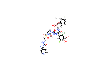 O=C(NCCS(=O)(=O)N1CCN(C(=O)NC(C(=O)NC2Cc3ccc(F)c(C(=O)O)c3OB2O)c2cc(F)c(O)c(O)c2Cl)C1=O)Nc1ccncc1